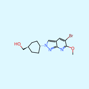 COc1nc2nn([C@H]3CC[C@H](CO)CC3)cc2cc1Br